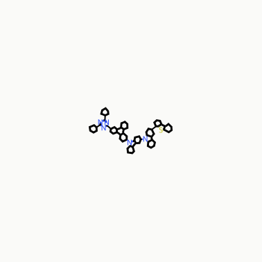 c1ccc(-c2nc(-c3ccccc3)nc(-c3ccc4c5ccc(-n6c7ccccc7c7cc(-n8c9ccccc9c9cc(-c%10cccc%11c%10sc%10ccccc%10%11)ccc98)ccc76)cc5c5ccccc5c4c3)n2)cc1